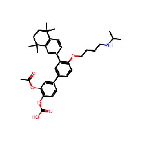 CC(=O)Oc1cc(-c2ccc(OCCCCNC(C)C)c(-c3ccc4c(c3)C(C)(C)CCC4(C)C)c2)ccc1OC(=O)O